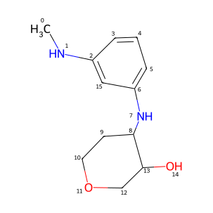 CNc1cccc(NC2CCOCC2O)c1